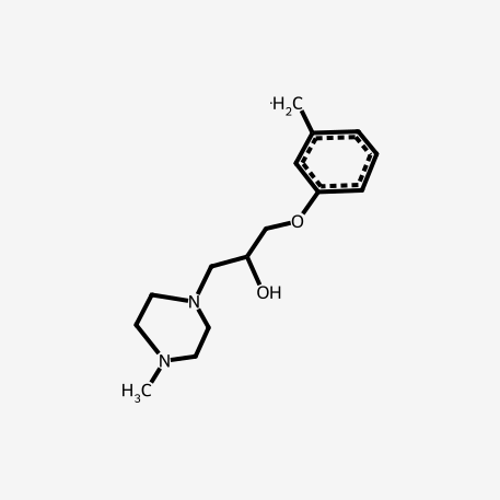 [CH2]c1cccc(OCC(O)CN2CCN(C)CC2)c1